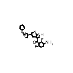 Nc1ccc(F)c(C(=O)c2c[nH]c3ncc(-c4cnn(Cc5ccccc5)c4)cc23)c1F